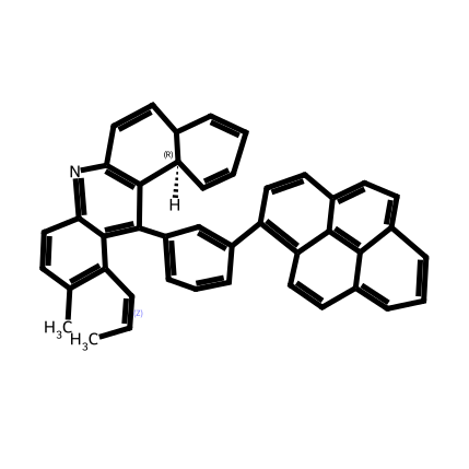 C/C=C\c1c(C)ccc2nc3c(c(-c4cccc(-c5ccc6ccc7cccc8ccc5c6c78)c4)c12)[C@@H]1C=CC=CC1C=C3